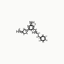 CN[C@@H]1CCN(c2cc(CNCCc3ccccc3)nc(N)n2)C1